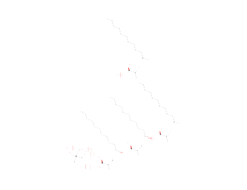 CCCCCCCCCCC(C)SCC(C)C(=O)O.CCCCCCCCCCC(C)SCC(C)C(=O)O.CCCCCCCCCCC(C)SCC(C)C(=O)O.CCCCCCCCCCC(C)SCC(C)C(=O)O.OCC(CO)(CO)CO